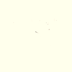 CC(C)(C)N(C(=O)O)[C@@H]1CC[C@H](O)C[C@H]1c1ccc(Cl)cc1